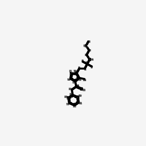 CSCCOC(C)(C)CCn1ncc(C(=O)Cc2ncccn2)c1C